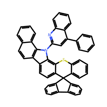 c1ccc(-c2cc(-n3c4c5c(ccc4c4ccc6ccccc6c43)C3(c4ccccc4S5)c4ccccc4-c4ccccc43)nc3ccccc23)cc1